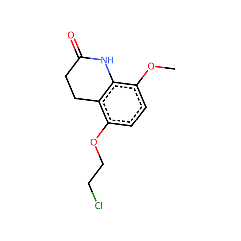 COc1ccc(OCCCl)c2c1NC(=O)CC2